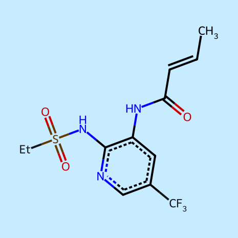 CC=CC(=O)Nc1cc(C(F)(F)F)cnc1NS(=O)(=O)CC